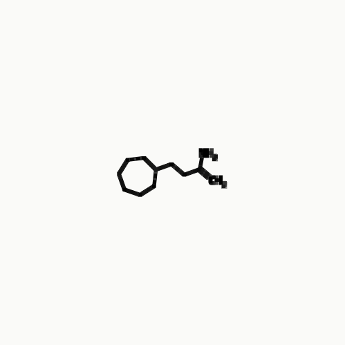 C=C(N)CCC1CCCCCC1